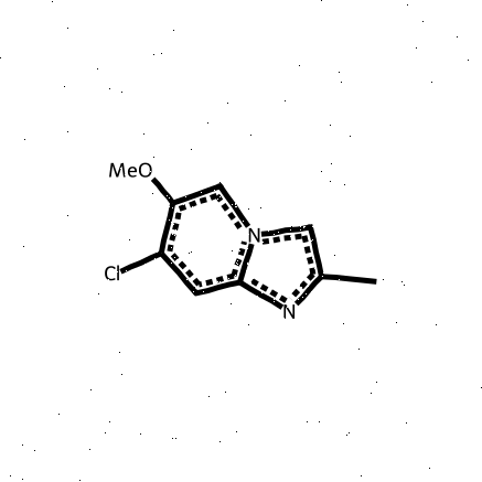 COc1cn2cc(C)nc2cc1Cl